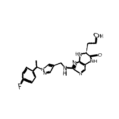 CC(c1ccc(F)cc1)n1cc(CNc2ncc3c(n2)N[C@@H](CCO)C(=O)N3)cn1